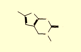 Cc1cc2c(s1)NC(=O)N(C)C2